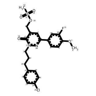 COc1ccc(-c2cc(COS(C)(=O)=O)c(=O)n(CCCc3ccc(Cl)cc3)n2)cc1F